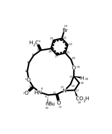 C=C1CCCOC(=O)N[C@@H](CCCC)C(=O)N2C[C@@H](C[C@H]2C(=O)O)OCc2cc(Br)cc1c2